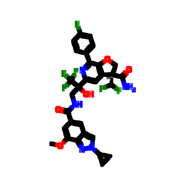 COc1cc(C(=O)NCC(O)(c2cc3c(c(-c4ccc(F)cc4)n2)OC[C@]3(C(N)=O)C(F)F)C(F)(F)F)cc2cn(C3CC3)nc12